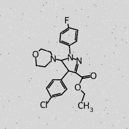 CCOC(=O)C1=NN(c2ccc(F)cc2)C(N2CCOCC2)C1c1ccc(Cl)cc1